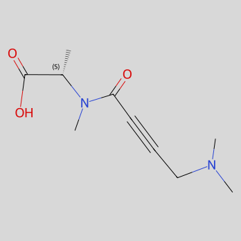 C[C@@H](C(=O)O)N(C)C(=O)C#CCN(C)C